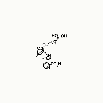 Cc1c(-c2cccnc2C(=O)O)cnn1CC12CC3(C)CC(C)(C1)CC(OCCNCC[C@H](O)CO)(C3)C2